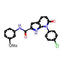 COc1cccc(NC(=O)c2cc3ccc(=O)n(-c4ccc(Cl)cc4)c3[nH]2)c1